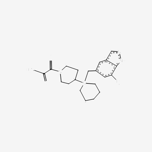 NC(=O)C(=O)N1CCC([N+]2(Cc3cc(Br)c4[nH]ncc4c3)CCCCC2)CC1